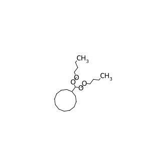 CCCCOOC(OOCCCC)C1CCCCCCCCCCC1